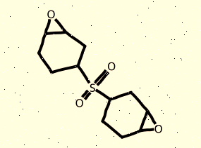 O=S(=O)(C1CCC2OC2C1)C1CCC2OC2C1